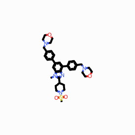 Cn1c(C2CCN(S(C)(=O)=O)CC2)nc2c(-c3ccc(CN4CCOCC4)cc3)cc(-c3ccc(CN4CCOCC4)cc3)cc21